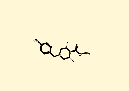 C[C@@H]1CN(Cc2ccc(N=O)cc2)C[C@H](C)N1C(=O)OC(C)(C)C